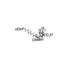 CCCCCCCCCCCCCCCCCCOCC(CNC(C(=O)O)C(C)O)OC